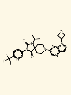 CC(C)N1C(=O)N(c2ccc(C(F)(F)F)nc2)C(=O)C12CCN(c1cnc3cnn(C4COC4)c3n1)CC2